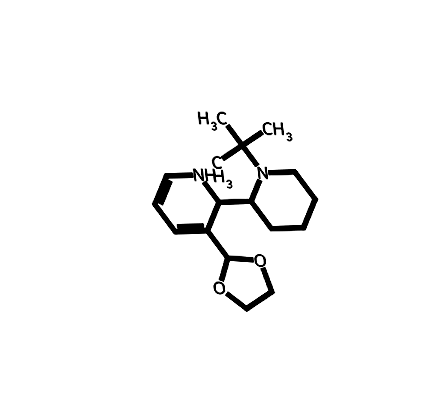 CC(C)(C)N1CCCCC1C1NC=CC=C1C1OCCO1